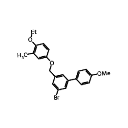 CCOc1ccc(OCc2cc(Br)cc(-c3ccc(OC)cc3)c2)cc1C